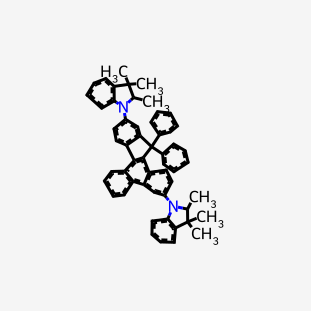 CC1N(c2ccc3c(c2)C(c2ccccc2)(c2ccccc2)c2c-3c3ccccc3c3cc(N4c5ccccc5C(C)(C)C4C)ccc23)c2ccccc2C1(C)C